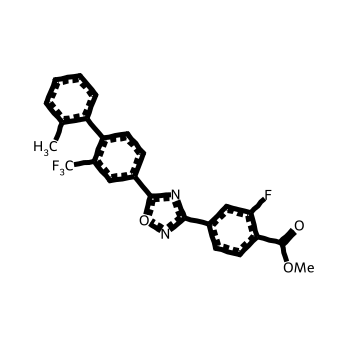 COC(=O)c1ccc(-c2noc(-c3ccc(-c4ccccc4C)c(C(F)(F)F)c3)n2)cc1F